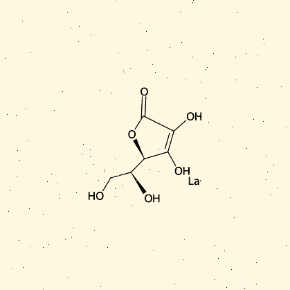 O=C1O[C@H]([C@@H](O)CO)C(O)=C1O.[La]